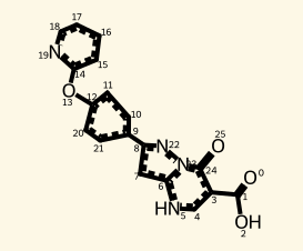 O=C(O)c1c[nH]c2cc(-c3ccc(Oc4ccccn4)cc3)nn2c1=O